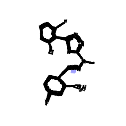 CN(/N=C/c1ccc(F)cc1C(=O)O)c1nc(-c2c(F)cccc2Cl)ns1